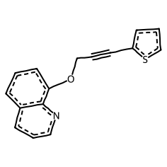 C(#Cc1cccs1)COc1cccc2cccnc12